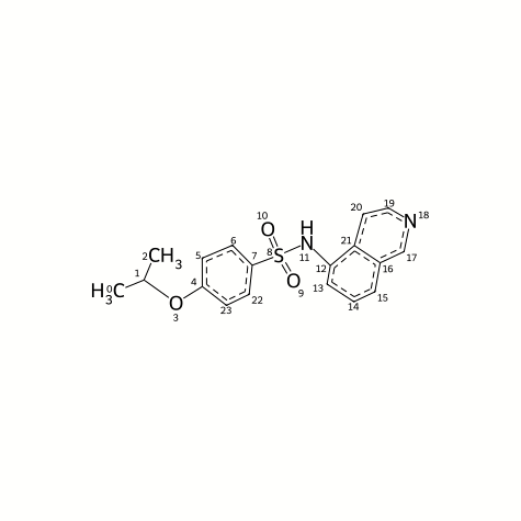 CC(C)Oc1ccc(S(=O)(=O)Nc2cccc3cnccc23)cc1